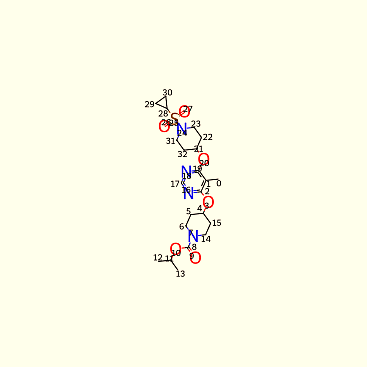 Cc1c(OC2CCN(C(=O)OC(C)C)CC2)ncnc1OC1CCN(S(=O)(=O)C2CC2)CC1